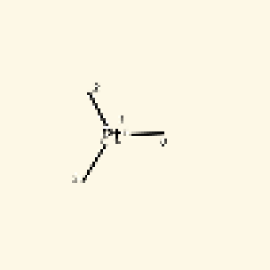 [CH3][Pt+]([CH3])[CH3]